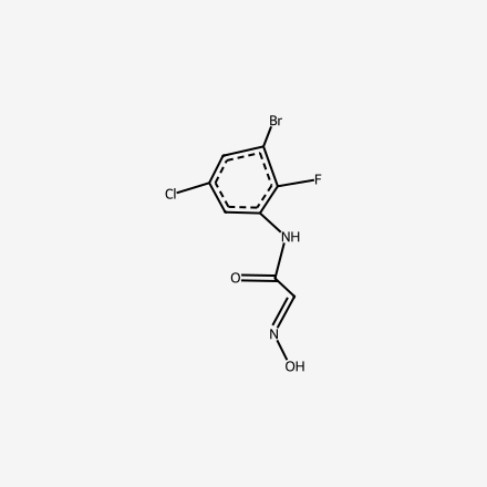 O=C(/C=N/O)Nc1cc(Cl)cc(Br)c1F